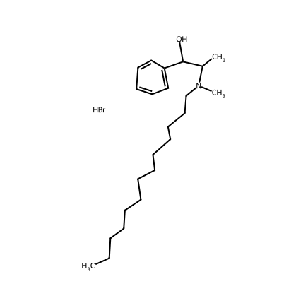 Br.CCCCCCCCCCCCCN(C)C(C)C(O)c1ccccc1